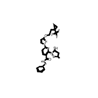 CC1CC(S)N(c2nc(-n3ccc(OCCC4(C(F)(F)F)CC4)n3)ccc2C(=O)NSc2ccccc2)S1